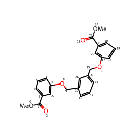 COC(=O)c1cccc(OCc2cccc(COc3cccc(C(=O)OC)c3)c2)c1